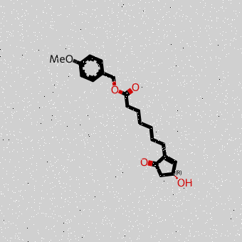 COc1ccc(COC(=O)CCCCCCC2=C[C@H](O)CC2=O)cc1